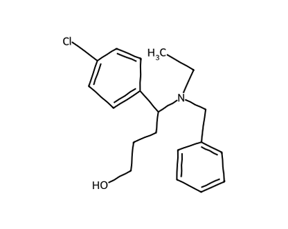 CCN(Cc1ccccc1)C(CCCO)c1ccc(Cl)cc1